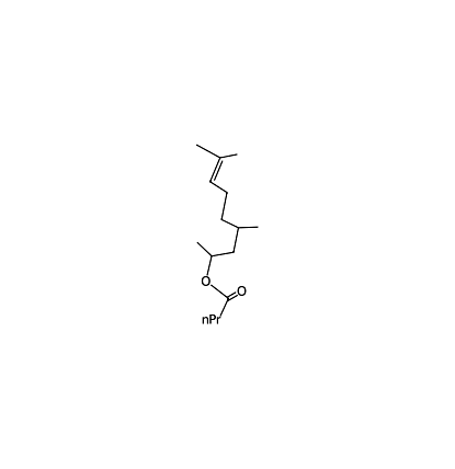 CCCC(=O)OC(C)CC(C)CCC=C(C)C